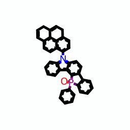 O=P1(c2ccccc2)c2ccccc2-c2ccc3c(c21)c1ccccc1n3-c1ccc2c3c4c(ccc13)C=CCC4=CC2